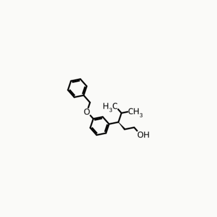 CC(C)[C@@H](CCO)c1cccc(OCc2ccccc2)c1